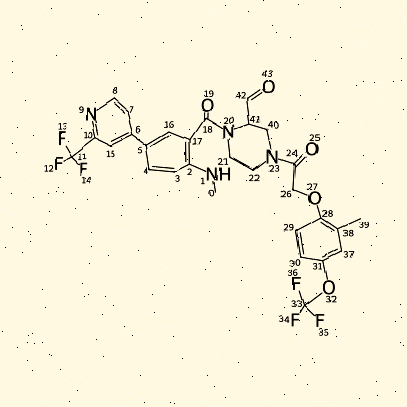 CNc1ccc(-c2ccnc(C(F)(F)F)c2)cc1C(=O)N1CCN(C(=O)COc2ccc(OC(F)(F)F)cc2C)CC1C=O